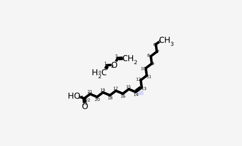 C=COC=C.CCCCCCCC/C=C\CCCCCCCC(=O)O